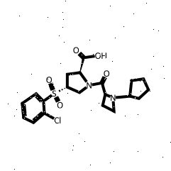 O=C(O)[C@@H]1C[C@@H](S(=O)(=O)c2ccccc2Cl)CN1C(=O)C1CCN1C1CCCC1